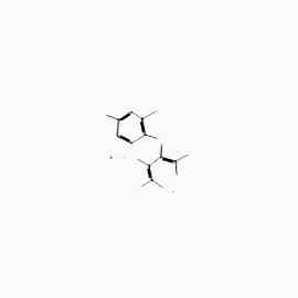 CCCCCC(/C(Sc1ccc(F)cc1C(F)(F)F)=C(\C)CC)=C(\CC)C(C)CC